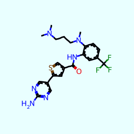 CN(C)CCCN(C)c1ccc(C(F)(F)F)cc1NC(=O)c1csc(-c2cnc(N)nc2)c1